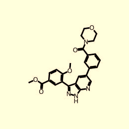 COC(=O)c1ccc(OC)c(-c2n[nH]c3ncc(-c4cccc(C(=O)N5CCOCC5)c4)cc23)c1